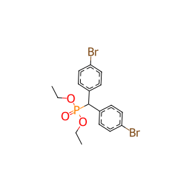 CCOP(=O)(OCC)C(c1ccc(Br)cc1)c1ccc(Br)cc1